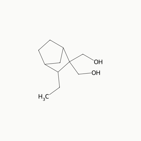 CCC1C2CCC(C2)C1(CO)CO